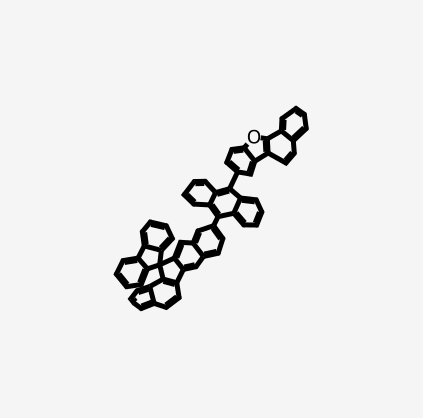 c1ccc2c(c1)-c1ccccc1C21c2cc3cc(-c4c5ccccc5c(-c5ccc6oc7c8ccccc8ccc7c6c5)c5ccccc45)ccc3cc2-c2ccc3ccccc3c21